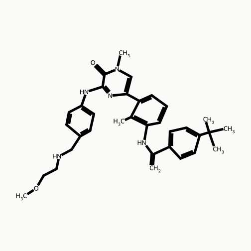 C=C(Nc1cccc(-c2cn(C)c(=O)c(Nc3ccc(CNCCOC)cc3)n2)c1C)c1ccc(C(C)(C)C)cc1